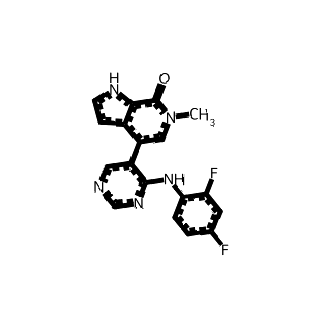 Cn1cc(-c2cncnc2Nc2ccc(F)cc2F)c2cc[nH]c2c1=O